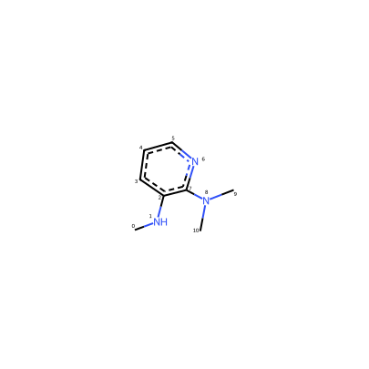 CNc1cccnc1N(C)C